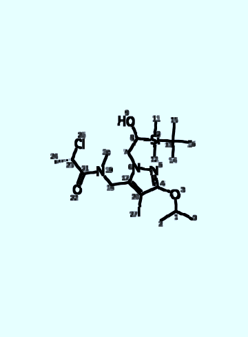 CC(C)Oc1nn(CC(O)[Si](C)(C)C(C)(C)C)c(CN(C)C(=O)[C@H](C)Cl)c1I